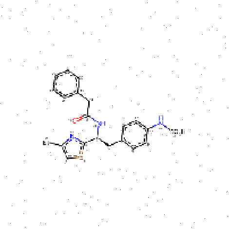 CCc1csc([C@H](Cc2ccc(NS(=O)(=O)O)cc2)NC(=O)Cc2ccccc2)n1